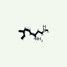 C=CC(=C)/C=C\C=C(\N)CCNC